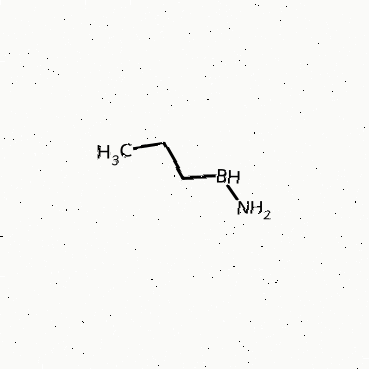 CCCBN